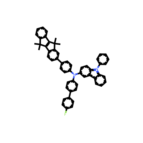 CC1(C)C2=C(c3ccccc31)C(C)(C)c1cc(-c3ccc(N(c4ccc(-c5ccc(F)cc5)cc4)c4ccc5c(c4)c4ccccc4n5-c4ccccc4)cc3)ccc12